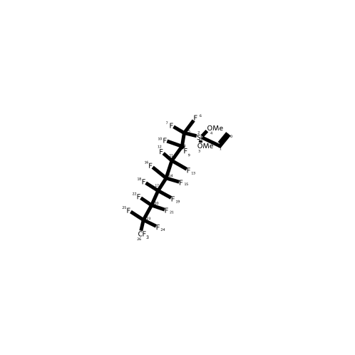 C=C[Si](OC)(OC)C(F)(F)C(F)(F)C(F)(F)C(F)(F)C(F)(F)C(F)(F)C(F)(F)C(F)(F)F